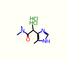 Cc1[nH]cnc1C(C)C(=O)N(C)C.Cl.Cl